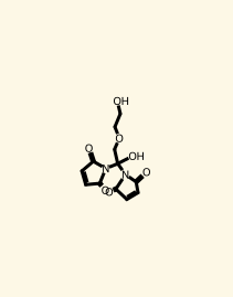 O=C1C=CC(=O)N1C(O)(COCCO)N1C(=O)C=CC1=O